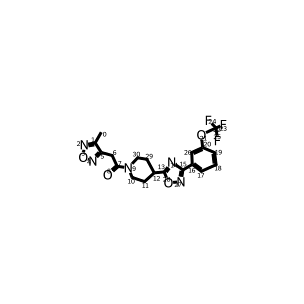 Cc1nonc1CC(=O)N1CCC(c2nc(-c3cccc(OC(F)(F)F)c3)no2)CC1